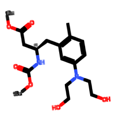 Cc1ccc(N(CCO)CCO)cc1C[C@H](CC(=O)OC(C)(C)C)NC(=O)OC(C)(C)C